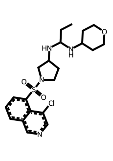 CCC(NC1CCOCC1)NC1CCN(S(=O)(=O)c2cccc3cncc(Cl)c23)C1